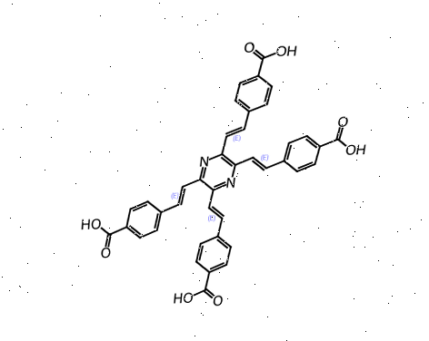 O=C(O)c1ccc(/C=C/c2nc(/C=C/c3ccc(C(=O)O)cc3)c(/C=C/c3ccc(C(=O)O)cc3)nc2/C=C/c2ccc(C(=O)O)cc2)cc1